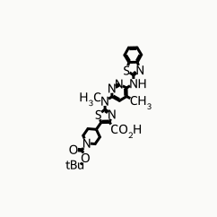 Cc1cc(N(C)c2nc(C(=O)O)c(C3CCN(C(=O)OC(C)(C)C)CC3)s2)nnc1Nc1nc2ccccc2s1